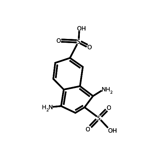 Nc1cc(S(=O)(=O)O)c(N)c2cc(S(=O)(=O)O)ccc12